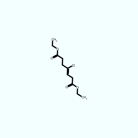 CCOC(=O)CC=C(Cl)CCC(=O)OCC